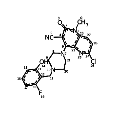 Cn1c(=O)c(C#N)c(N2CCN(Cc3c(O)cccc3F)CC2)c2nc(Cl)ccc21